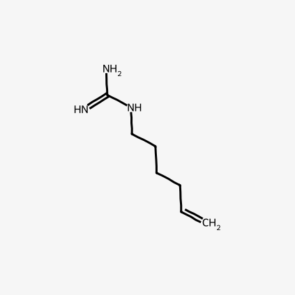 C=CCCCCNC(=N)N